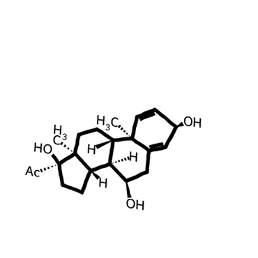 CC(=O)[C@@]1(O)CC[C@H]2[C@@H]3[C@H](O)CC4=C[C@H](O)C=C[C@]4(C)[C@H]3CC[C@@]21C